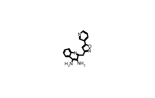 Nc1c(Cc2cc(-c3cccnc3)on2)nc2ccccc2c1N